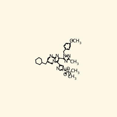 COc1ccc(Cn2nc(C)nc2-c2nc3ncc(CC4CCCCC4)cn3c2-c2cn(S(=O)(=O)N(C)C)cn2)cc1